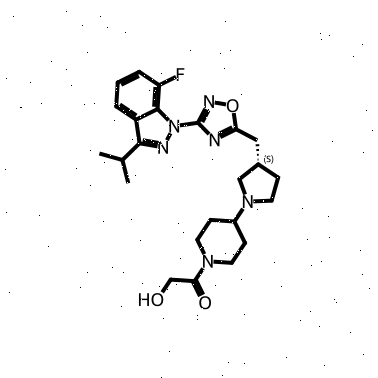 CC(C)c1nn(-c2noc(C[C@@H]3CCN(C4CCN(C(=O)CO)CC4)C3)n2)c2c(F)cccc12